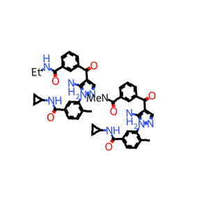 CCNC(=O)c1cccc(C(=O)c2cnn(-c3cc(C(=O)NC4CC4)ccc3C)c2N)c1.CNC(=O)c1cccc(C(=O)c2cnn(-c3cc(C(=O)NC4CC4)ccc3C)c2N)c1